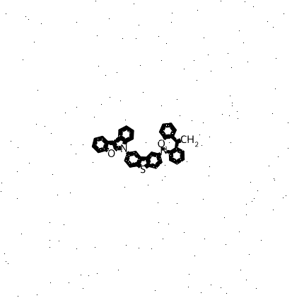 C=C1c2ccccc2ON(c2ccc3sc4ccc(-n5c6ccccc6c6c7ccccc7oc65)cc4c3c2)c2ccccc21